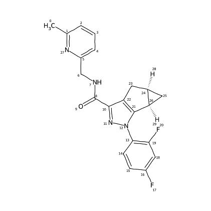 Cc1cccc(CNC(=O)c2nn(-c3ccc(F)cc3F)c3c2C[C@H]2C[C@@H]32)n1